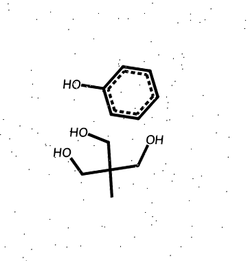 CC(CO)(CO)CO.Oc1ccccc1